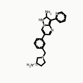 NC1NN2C=C(c3cccc(CN4CC[C@H](N)C4)c3)C=NC2=C1c1ccccn1